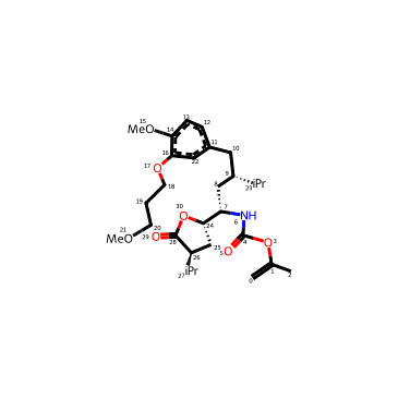 C=C(C)OC(=O)N[C@@H](C[C@H](Cc1ccc(OC)c(OCCCOC)c1)C(C)C)[C@@H]1C[C@@H](C(C)C)C(=O)O1